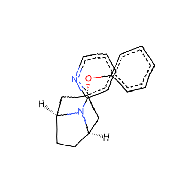 c1ccc(O[C@@H]2C[C@H]3CC[C@@H](C2)N3c2ccccn2)cc1